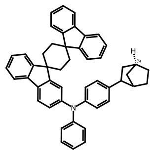 c1ccc(N(c2ccc(C3C[C@H]4CCC3C4)cc2)c2ccc3c(c2)C2(CCC4(CC2)c2ccccc2-c2ccccc24)c2ccccc2-3)cc1